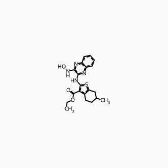 CCOC(=O)c1c(Nc2nc3ccccc3nc2NO)sc2c1CCC(C)C2